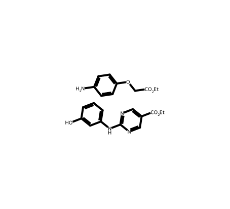 CCOC(=O)COc1ccc(N)cc1.CCOC(=O)c1cnc(Nc2cccc(O)c2)nc1